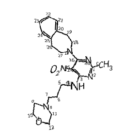 Cc1nc(NCCCN2CCOCC2)c([N+](=O)[O-])c(N2CCc3ccccc3CC2)n1